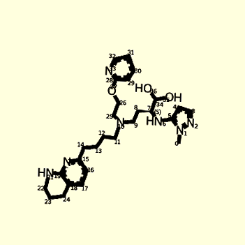 Cn1nccc1N[C@@H](CCN(CCCCc1ccc2c(n1)NCCC2)CCOc1ccccn1)C(O)O